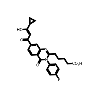 O=C(O)CCCCc1nc2cc(C(=O)C=C(O)C3CC3)ccc2c(=O)n1-c1ccc(F)cc1